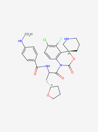 O=C(O)Nc1ccc(C(=O)NC(C[C@@H]2CCCO2)C(=O)N2C(=O)O[C@]3(CCCNC3)c3c2ccc(Cl)c3F)cc1